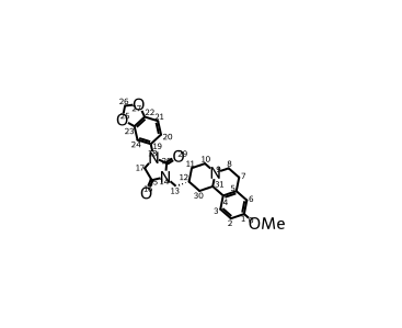 COc1ccc2c(c1)CCN1CC[C@@H](CN3C(=O)CN(c4ccc5c(c4)OCO5)C3=O)CC21